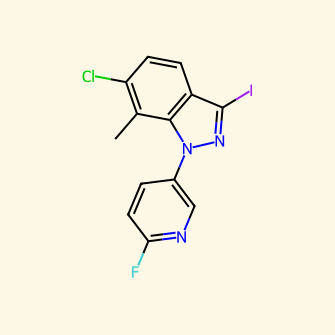 Cc1c(Cl)ccc2c(I)nn(-c3ccc(F)nc3)c12